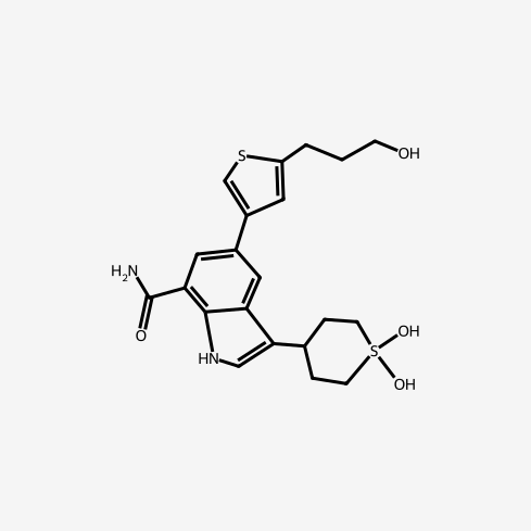 NC(=O)c1cc(-c2csc(CCCO)c2)cc2c(C3CCS(O)(O)CC3)c[nH]c12